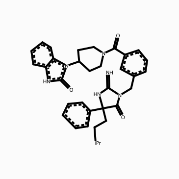 CC(C)CCC1(c2ccccc2)NC(=N)N(Cc2cccc(C(=O)N3CCC(n4c(=O)[nH]c5ccccc54)CC3)c2)C1=O